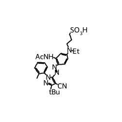 CCN(CCCS(=O)(=O)O)c1ccc(/N=N/c2c(C#N)c(C(C)(C)C)nn2-c2ccccc2C)c(NC(C)=O)c1